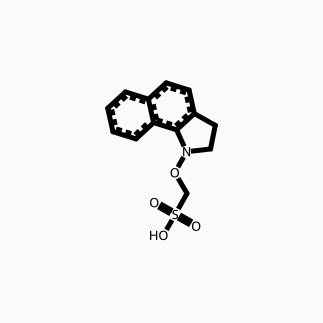 O=S(=O)(O)CON1CCc2ccc3ccccc3c21